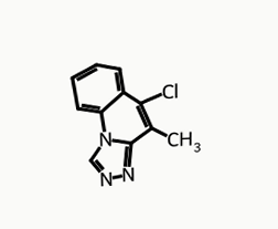 Cc1c(Cl)c2ccccc2n2cnnc12